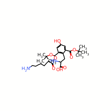 CC(C)(C)OC(=O)c1cc(O)cc(C(=O)OC(C)(C)C)c1CC(NC(=O)CCCCCN)C(=O)O